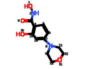 O=C(NO)c1ccc(N2CCOCC2)cc1O